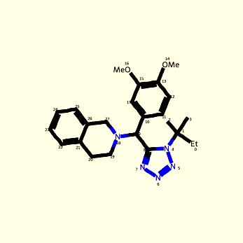 CCC(C)(C)n1nnnc1C(c1ccc(OC)c(OC)c1)N1CCc2ccccc2C1